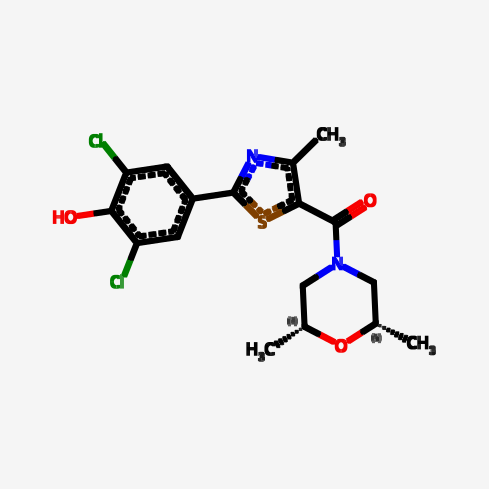 Cc1nc(-c2cc(Cl)c(O)c(Cl)c2)sc1C(=O)N1C[C@@H](C)O[C@@H](C)C1